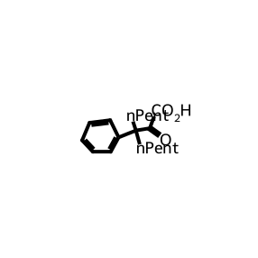 CCCCCC(CCCCC)(C(=O)C(=O)O)c1ccccc1